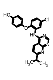 CC(C)c1ccc2c(Nc3cc(Cl)ccc3Oc3ccc(O)cc3)ncnc2n1